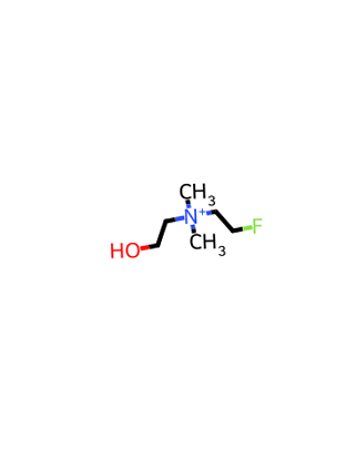 C[N+](C)(CCO)CCF